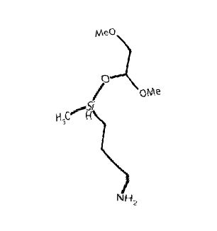 COCC(OC)O[SiH](C)CCCN